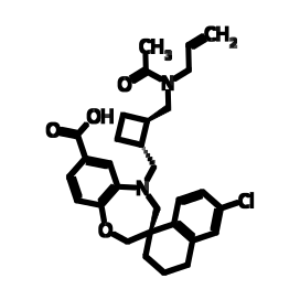 C=CCN(C[C@@H]1CC[C@H]1CN1C[C@@]2(CCCc3cc(Cl)ccc32)COc2ccc(C(=O)O)cc21)C(C)=O